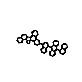 c1ccc2c(-c3c4ccccc4c(-c4ccc(-c5ccc6c(c5)c5ccccc5c5c7ccc8ccccc8c7oc65)c5ccccc45)c4ccccc34)cccc2c1